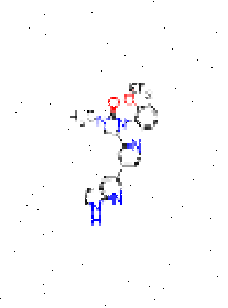 Cn1cc(-c2cc(-c3cnc4[nH]ccc4c3)ccn2)n(-c2ccccc2OC(F)(F)F)c1=O